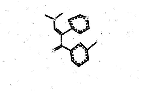 CN(C)/C=C(/C(=O)c1cccc(F)c1)c1ccncc1